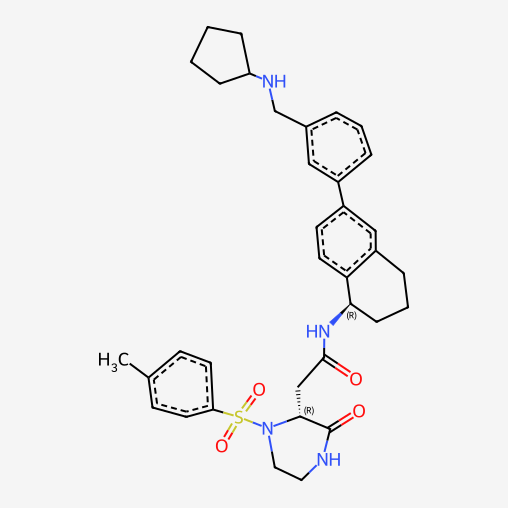 Cc1ccc(S(=O)(=O)N2CCNC(=O)[C@H]2CC(=O)N[C@@H]2CCCc3cc(-c4cccc(CNC5CCCC5)c4)ccc32)cc1